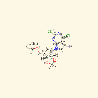 CC1(C)O[C@@H]2[C@@H](CO[Si](C)(C)C(C)(C)C)C[C@@H](n3cc(I)c4c(Cl)nc(Cl)nc43)[C@@H]2O1